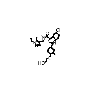 CCn1ncc(CN(C)C(=O)c2nc(-c3ccc(OCCO)c(C)c3)nc3ccc(O)cc23)c1C